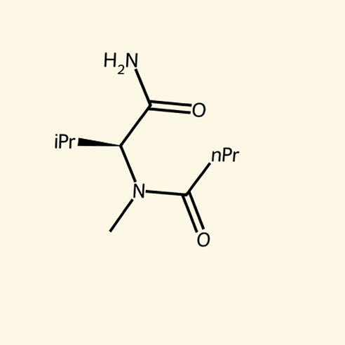 CCCC(=O)N(C)[C@H](C(N)=O)C(C)C